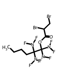 CCCCC(N(F)F)(N(F)F)C(OC(=O)C(Br)CBr)(N(F)F)N(F)F